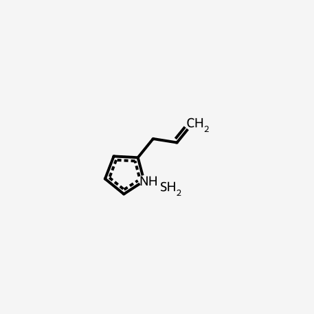 C=CCc1ccc[nH]1.S